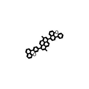 Cc1cc(-c2ccc3c(c2)Oc2cccc4cccc-3c24)c2ccc3c(C)cc(-c4ccc5c6c(cccc46)Oc4ccccc4-5)c4ccc1c2c34